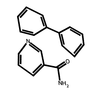 NC(=O)c1cccnc1.c1ccc(-c2ccccc2)cc1